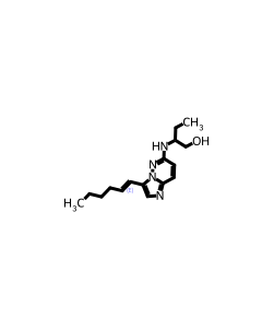 CCCC/C=C/c1cnc2ccc(NC(CC)CO)nn12